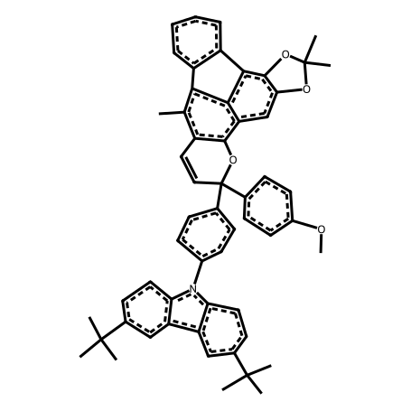 COc1ccc(C2(c3ccc(-n4c5ccc(C(C)(C)C)cc5c5cc(C(C)(C)C)ccc54)cc3)C=Cc3c(C)c4c5c(c6c(cc5c3O2)OC(C)(C)O6)-c2ccccc2-4)cc1